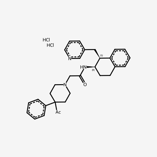 CC(=O)C1(c2ccccc2)CCN(CC(=O)N[C@@H]2CCc3ccccc3[C@@H]2Cc2cccnc2)CC1.Cl.Cl